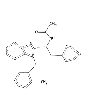 CC(=O)NC(Cc1ccccc1)c1nc2ccccc2n1Cc1ccccc1C